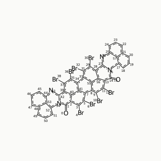 O=c1c2c(Br)c(Br)c3c4c(Br)c(Br)c5c(=O)n6c7cccc8cccc(nc6c6c(Br)c(Br)c(c9c(Br)c(Br)c(c2c39)c2nc3cccc9cccc(c93)n12)c4c56)c87